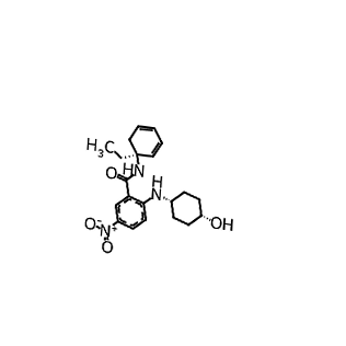 CC[C@@]1(NC(=O)c2cc([N+](=O)[O-])ccc2N[C@H]2CC[C@@H](O)CC2)C=CC=CC1